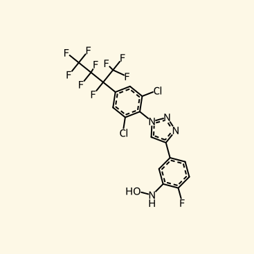 ONc1cc(-c2cn(-c3c(Cl)cc(C(F)(C(F)(F)F)C(F)(F)C(F)(F)F)cc3Cl)nn2)ccc1F